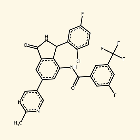 Cc1ncc(-c2cc(NC(=O)c3cc(F)cc(C(F)(F)F)c3)c3c(c2)C(=O)NC3c2cc(F)ccc2Cl)cn1